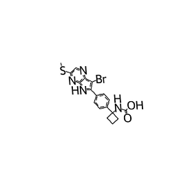 CSc1cnc2c(Br)c(-c3ccc(C4(NC(=O)O)CCC4)cc3)[nH]c2n1